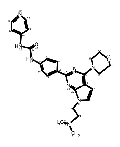 CN(C)CCn1ccc2c(N3CCOCC3)nc(-c3ccc(NC(=O)Nc4ccncc4)cc3)nc21